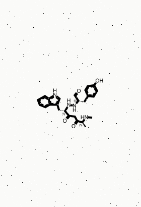 CN[C@@H](C)C(=O)CC(=O)[C@H](Cc1c[nH]c2ccccc12)NN[C@H](C=O)Cc1ccc(O)cc1